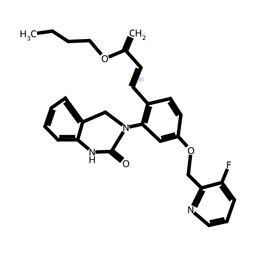 C=C(/C=C/c1ccc(OCc2ncccc2F)cc1N1Cc2ccccc2NC1=O)OCCCC